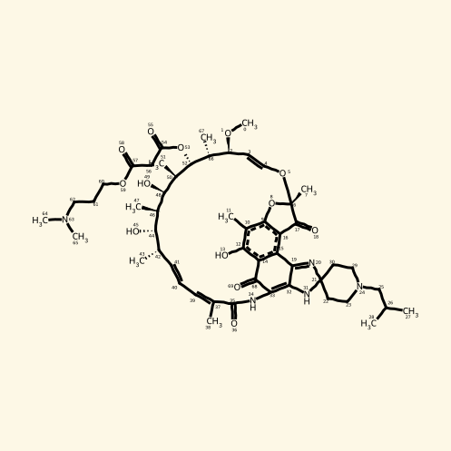 CO[C@H]1/C=C/O[C@@]2(C)Oc3c(C)c(O)c4c(c3C2=O)C2=NC3(CCN(CC(C)C)CC3)NC2=C(NC(=O)/C(C)=C\C=C\[C@H](C)[C@H](O)[C@@H](C)[C@@H](O)[C@@H](C)[C@H](OC(=O)CC(=O)OCCCN(C)C)[C@@H]1C)C4=O